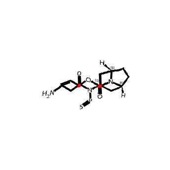 C=CCOC(=O)N1[C@@H]2CC[C@H]1C[C@H](N(P=S)C(=O)CCN)C2